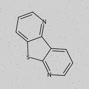 c1cnc2c(c1)sc1ncccc12